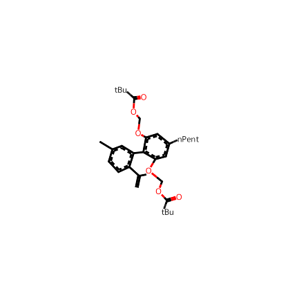 C=C(C)c1ccc(C)cc1-c1c(OCOC(=O)C(C)(C)C)cc(CCCCC)cc1OCOC(=O)C(C)(C)C